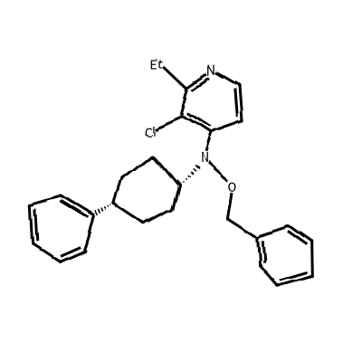 CCc1nccc(N(OCc2ccccc2)[C@H]2CC[C@@H](c3ccccc3)CC2)c1Cl